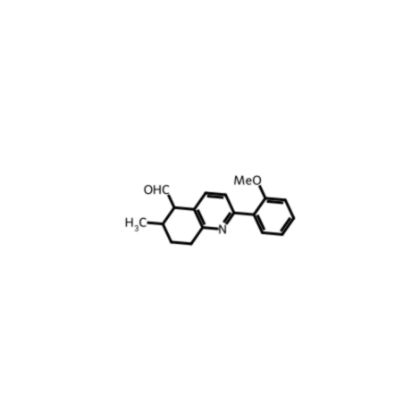 COc1ccccc1-c1ccc2c(n1)CCC(C)C2C=O